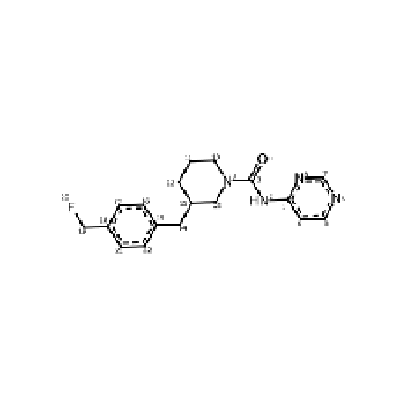 O=C(Nc1ccncn1)N1CCCC(Cc2ccc(CF)cc2)C1